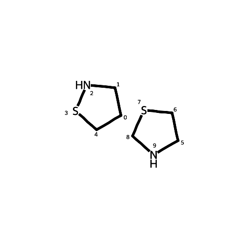 C1CNSC1.C1CSCN1